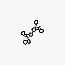 c1ccc(-n2c3ccc(-c4ccc5c(c4)c4c6ccccc6sc4n5-c4cccc5ccccc45)cc3c3c4ccccc4oc32)cc1